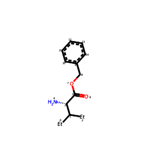 CCC(CC)[C@H](N)C(=O)OCc1ccccc1